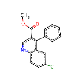 COC(=O)c1cnc2ccc(Cl)cc2c1-c1ccccc1